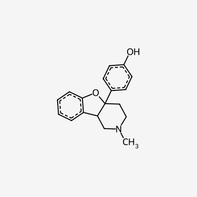 CN1CCC2(c3ccc(O)cc3)Oc3ccccc3C2C1